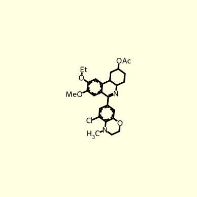 CCOc1cc2c(cc1OC)C(c1cc(Cl)c3c(c1)OCCN3C)=NC1CCC(OC(C)=O)CC21